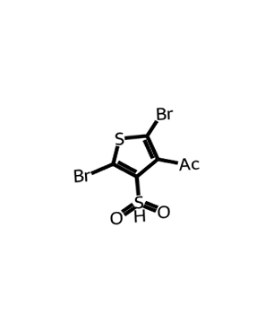 CC(=O)c1c(Br)sc(Br)c1[SH](=O)=O